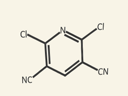 N#Cc1cc(C#N)c(Cl)nc1Cl